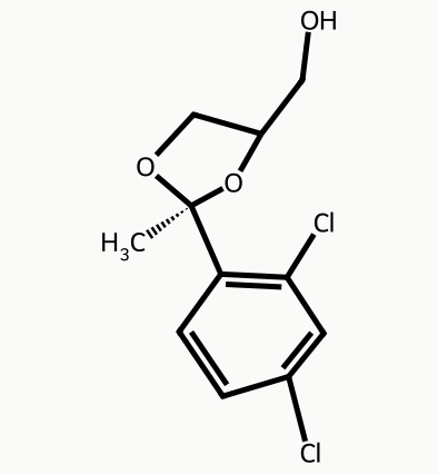 C[C@]1(c2ccc(Cl)cc2Cl)OCC(CO)O1